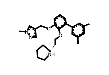 Cc1cc(C)cc(-c2cccc(OCc3cnn(C)c3)c2OCC[C@H]2CCCCN2)c1